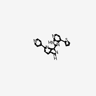 c1csc(-c2ccnc3[nH]c(-c4n[nH]c5ccc(-c6ccncc6)nc45)nc23)c1